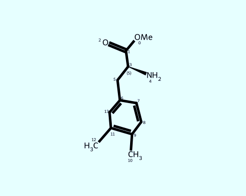 COC(=O)[C@@H](N)Cc1ccc(C)c(C)c1